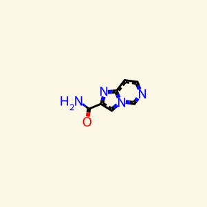 NC(=O)c1cn2cnccc2n1